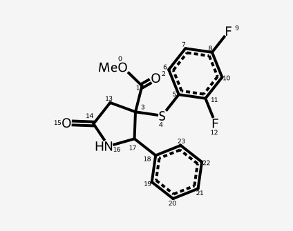 COC(=O)C1(Sc2ccc(F)cc2F)CC(=O)NC1c1ccccc1